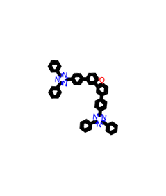 C1=c2oc3ccc(-c4ccc(-c5nc(-c6ccccc6)nc(-c6ccccc6)n5)cc4)cc3c2=CC(c2ccc(-c3nc(-c4ccccc4)nc(-c4ccccc4)n3)cc2)C1